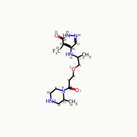 CC(COCCC(=O)N1CCNCC1C)Nc1cn[nH]c(=O)c1C(F)(F)F